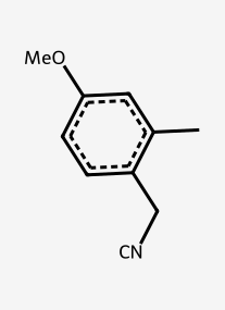 [C-]#[N+]Cc1ccc(OC)cc1C